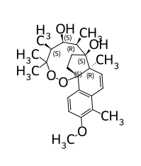 COc1ccc2c(c1C)C=C[C@@]1(C)[C@]23CC[C@]1(O)[C@H](C)[C@H](O)[C@H](C)C(C)(C)OO3